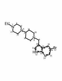 CCN1CCN(C2CCN(Cc3c[nH]c4ncc(Br)cc34)CC2)CC1